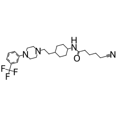 N#CCCCCC(=O)NC1CCC(CCN2CCN(c3cccc(C(F)(F)F)c3)CC2)CC1